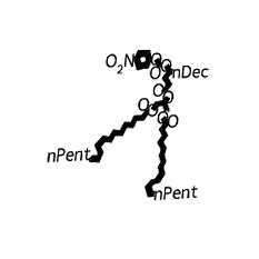 CCCCC/C=C\C/C=C\CCCCCCCC(=O)OCC(COC(=O)CCCCCCC/C=C\C/C=C\CCCCC)OC(=O)CCC(CCCCCCCCCC)OC(=O)Oc1ccc([N+](=O)[O-])cc1